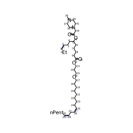 CC/C=C\CCC(CCCCC(=O)OCCCOCCCCCCCC/C=C\C/C=C\CCCCC)OC(=O)CN1CCN(C)CC1